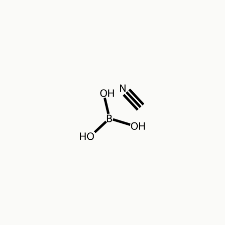 C#N.OB(O)O